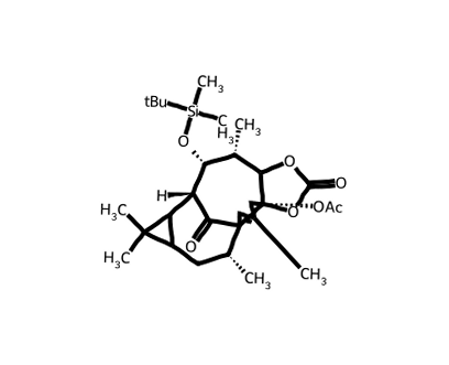 CC(=O)O[C@H]1C(C)=CC23C(=O)[C@H](C4C(C[C@H]2C)C4(C)C)[C@H](O[Si](C)(C)C(C)(C)C)[C@H](C)C2OC(=O)OC213